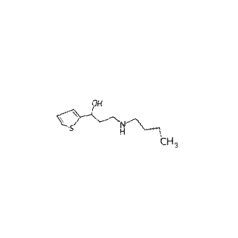 CCCCNCCC(O)c1cccs1